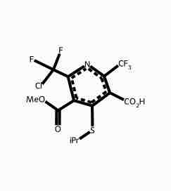 COC(=O)c1c(C(F)(F)Cl)nc(C(F)(F)F)c(C(=O)O)c1SC(C)C